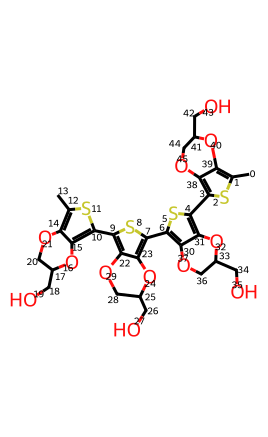 Cc1sc(-c2sc(-c3sc(-c4sc(C)c5c4OC(CO)CO5)c4c3OC(CO)CO4)c3c2OC(CO)CO3)c2c1OC(CO)CO2